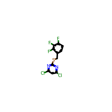 Fc1ccc(CSc2nc(Cl)cc(Cl)n2)c(F)c1F